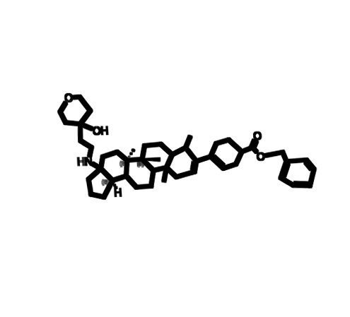 CC1C(C2=CCC(C(=O)OCc3ccccc3)CC2)=CCC2(C)C1CC[C@]1(C)C2CCC2[C@H]3CCCC3(NCCC3(O)CCOCC3)CC[C@]21C